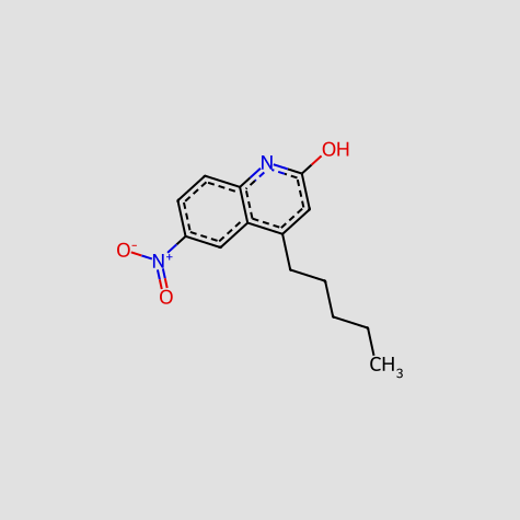 CCCCCc1cc(O)nc2ccc([N+](=O)[O-])cc12